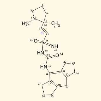 CN1CCC[C@@]1(C)/C=C/S(=N)(=O)NC(=O)Nc1c2c(cc3c1CCC3)CCC2